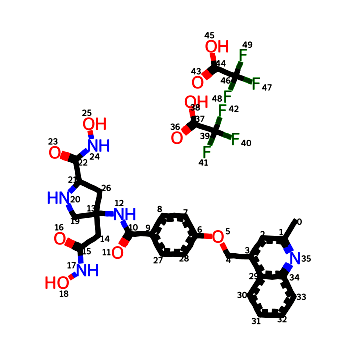 Cc1cc(COc2ccc(C(=O)NC3(CC(=O)NO)CNC(C(=O)NO)C3)cc2)c2ccccc2n1.O=C(O)C(F)(F)F.O=C(O)C(F)(F)F